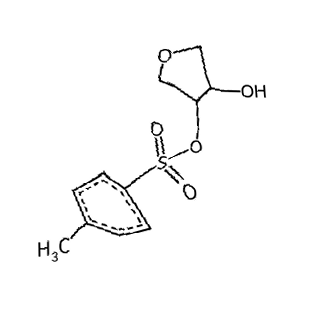 Cc1ccc(S(=O)(=O)OC2COCC2O)cc1